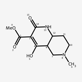 COC(=O)C1=C(O)C2CN(C)CCC2NC1=O